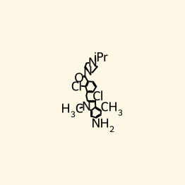 Cc1cc(N)cc2c1cc(Cc1c(Cl)ccc(C(=O)N3CCN(C(C)C)CC3)c1Cl)n2C